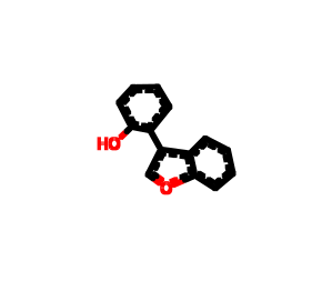 Oc1ccccc1-c1coc2ccccc12